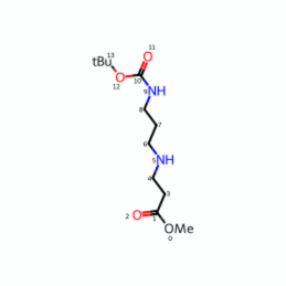 COC(=O)CCNCCCNC(=O)OC(C)(C)C